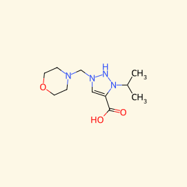 CC(C)N1NN(CN2CCOCC2)C=C1C(=O)O